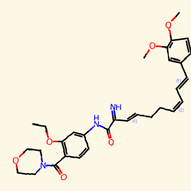 CCOc1cc(NC(=O)C(=N)/C=C/CC/C=C\C=C\c2ccc(OC)c(OC)c2)ccc1C(=O)N1CCOCC1